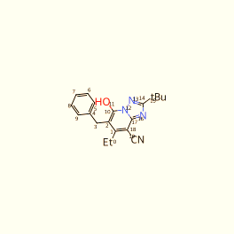 CCc1c(Cc2ccccc2)c(O)n2nc(C(C)(C)C)nc2c1C#N